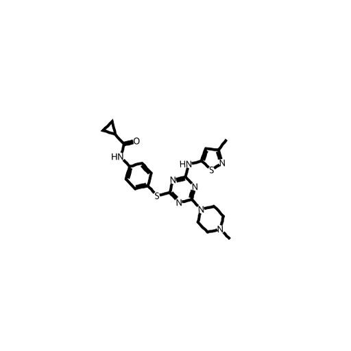 Cc1cc(Nc2nc(Sc3ccc(NC(=O)C4CC4)cc3)nc(N3CCN(C)CC3)n2)sn1